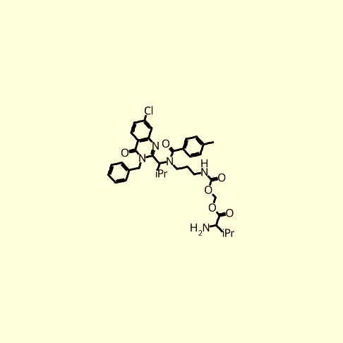 Cc1ccc(C(=O)N(CCCNC(=O)OCOC(=O)C(N)C(C)C)C(c2nc3cc(Cl)ccc3c(=O)n2Cc2ccccc2)C(C)C)cc1